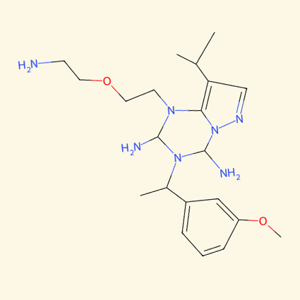 COc1cccc(C(C)N2C(N)N(CCOCCN)c3c(C(C)C)cnn3C2N)c1